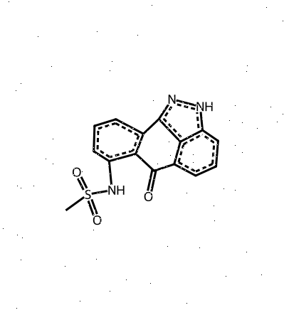 CS(=O)(=O)Nc1cccc2c1C(=O)c1cccc3[nH]nc-2c13